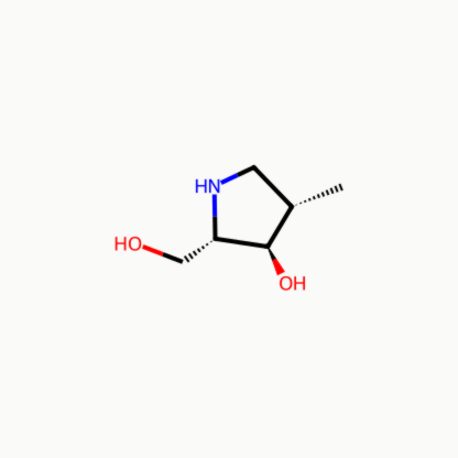 C[C@H]1CN[C@@H](CO)[C@@H]1O